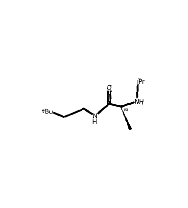 CC(C)N[C@@H](C)C(=O)NCCC(C)(C)C